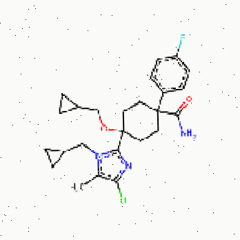 Cc1c(Cl)nc(C2(OCC3CC3)CCC(C(N)=O)(c3ccc(F)cc3)CC2)n1CC1CC1